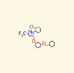 FC(F)(F)c1cc(COc2cccc(OCc3ccccc3)c2)n(C2=CC=CCC2Cl)n1